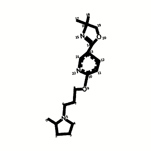 CC1CCCN1CCCOc1ccc(C2=NC(C)(C)CO2)cn1